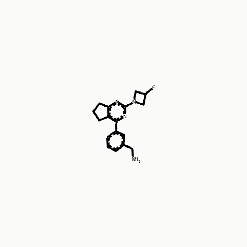 NCc1cccc(-c2nc(N3CC(F)C3)nc3c2CCC3)c1